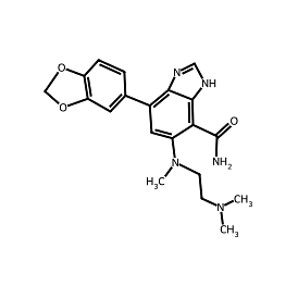 CN(C)CCN(C)c1cc(-c2ccc3c(c2)OCO3)c2nc[nH]c2c1C(N)=O